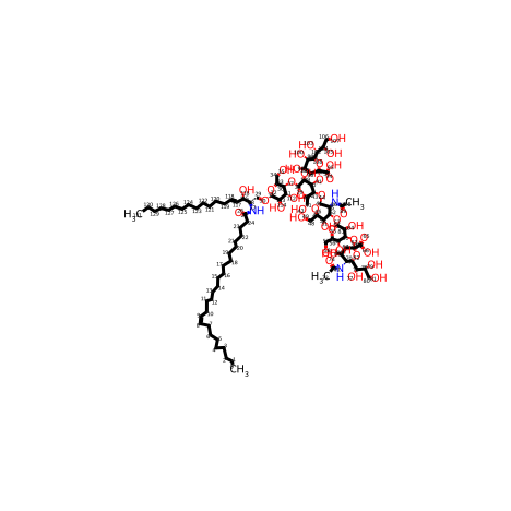 CCCCCCCC/C=C\CCCCCCCCCCCCCCCC(=O)N[C@@H](CO[C@@H]1OC(CO)[C@@H](O[C@@H]2OC(CO)[C@H](O[C@@H]3OC(CO)[C@H](O)[C@H](O[C@@H]4OC(CO)[C@H](O)[C@H](O[C@]5(C(=O)O)CC(O)[C@@H](NC(C)=O)C([C@H](O)[C@H](O)CO)O5)C4O)C3NC(C)=O)[C@H](O[C@]3(C(=O)O)CC(O)[C@@H](O)C([C@H](O)[C@H](O)CO)O3)C2O)[C@H](O)C1O)[C@H](O)/C=C/CCCCCCCCCCCCC